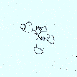 c1ccc(CNc2nc(C3CCOCC3)nn3ccc(-c4ccccc4)c23)cc1